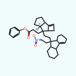 O=C(CCC1(CCC2(CC[N+](=O)[O-])C3CCCC=C3C3CCCCC32)C2CC=C2C2CCC[C@H]21)Oc1ccccc1